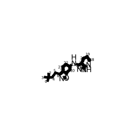 CC(C)(C)CCc1noc2cc(Nc3n[nH]c4ncccc34)ccc12